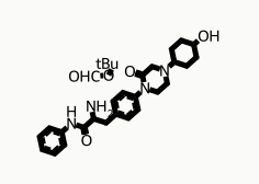 CC(C)(C)OC=O.NC(Cc1ccc(N2CCN(C3CCC(O)CC3)CC2=O)cc1)C(=O)Nc1ccccc1